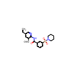 C=Cc1cnc(NC(=O)c2cccc(S(=O)(=O)N3CCCCC3)c2)c(OC)c1